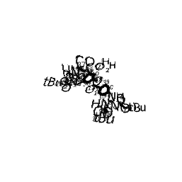 CC(C)(C)OC(=O)/N=C(/NC(=O)OC(C)(C)C)Nc1ccc(C(=O)Oc2cccc(CN(C(=O)OC(C)(C)C)S(=O)(=O)NC(CC(=O)O)C(=O)O)c2)cc1